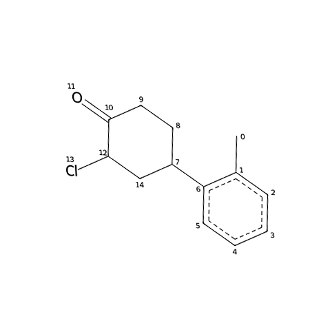 Cc1ccccc1C1CCC(=O)C(Cl)C1